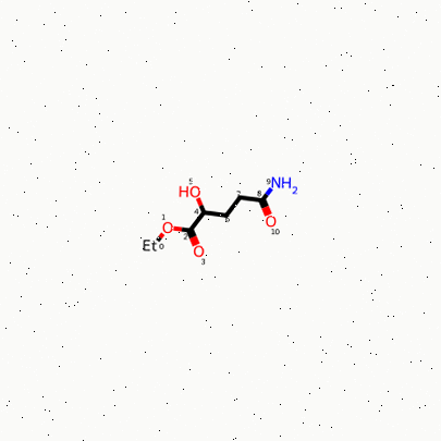 CCOC(=O)C(O)CCC(N)=O